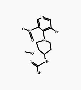 CO[C@@H]1CN(c2c(Br)cncc2[N+](=O)[O-])CC[C@@H]1NC(=O)O